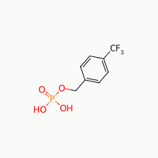 O=P(O)(O)OCc1ccc(C(F)(F)F)cc1